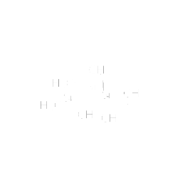 C[SiH](C)[SiH](C)[Si](C)(C)C